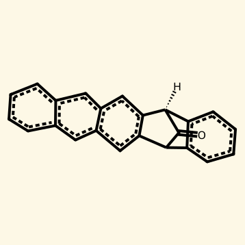 O=C1C2c3ccccc3[C@@H]1c1cc3cc4ccccc4cc3cc12